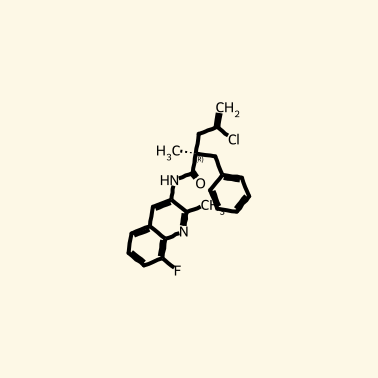 C=C(Cl)C[C@@](C)(Cc1ccccc1)C(=O)Nc1cc2cccc(F)c2nc1C